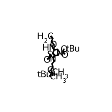 C=CCONC1CN(C(=O)OC(C)(C)C)Cc2c1sc(=O)n2CCCO[Si](C)(C)C(C)(C)C